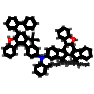 CCCCCCCC1(CCCCCCC)c2ccccc2-c2c1c1c(c3c2oc2ccccc23)-c2ccc(N(c3ccc4c(c3)C(C)(C)c3cc(-c5ccccc5-c5ccccc5)c5oc6ccccc6c5c3-4)c3ccccc3C)cc2C1(CCCCCCC)CCCCCCC